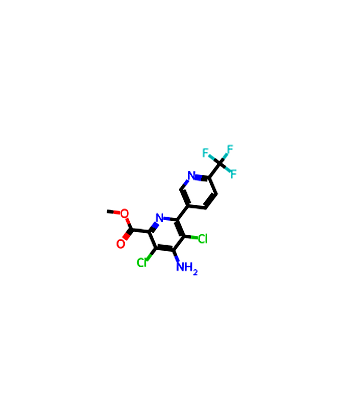 COC(=O)c1nc(-c2ccc(C(F)(F)F)nc2)c(Cl)c(N)c1Cl